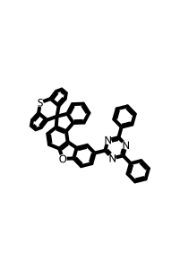 c1ccc(-c2nc(-c3ccccc3)nc(-c3ccc4oc5ccc6c(c5c4c3)-c3ccccc3C63c4ccccc4Sc4ccccc43)n2)cc1